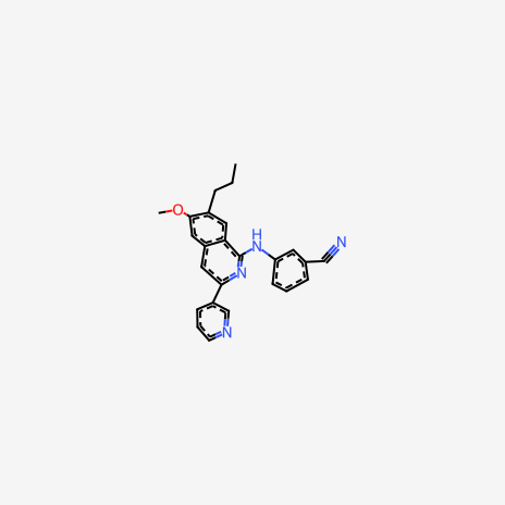 CCCc1cc2c(Nc3cccc(C#N)c3)nc(-c3cccnc3)cc2cc1OC